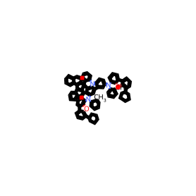 Cc1ccccc1N(c1ccc2c(c1)c1cc(N(c3ccccc3C)c3cccc4c3oc3c(C5CCCCC5)cccc34)cc3c1n2-c1ccccc1C31c2ccc3ccccc3c2-c2c1ccc1ccccc21)c1cccc2c1oc1c(C3CCCCC3)cccc12